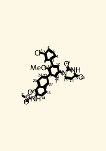 COc1c(-c2cccc(Cl)c2)cc(-n2ccc(=O)[nH]c2=O)c(F)c1-c1ccc2cc(NS(C)(=O)=O)ccc2c1